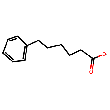 [O]C(=O)CCCCCc1ccccc1